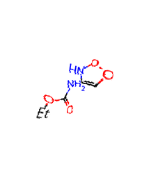 C1=COON1.CCOC(N)=O